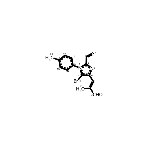 CC(C=O)=Cc1nc(C=S)n(-c2ccc(C)cc2)c1Br